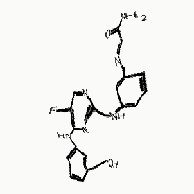 NC(=O)C=Nc1cccc(Nc2ncc(F)c(Nc3cccc(O)c3)n2)c1